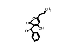 C=CCc1cc(O)c([C@H](CC)c2ccccc2)c(=O)o1